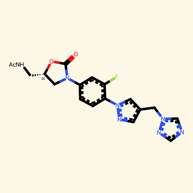 CC(=O)NC[C@H]1CN(c2ccc(-n3cc(Cn4cncn4)cn3)c(F)c2)C(=O)O1